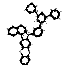 C1=C2Sc3ccccc3SC2=CC2C1c1c(ccc3ccccc13)N2c1cccc(-c2nc(-c3ccccc3)cc(-c3ccccc3)n2)c1